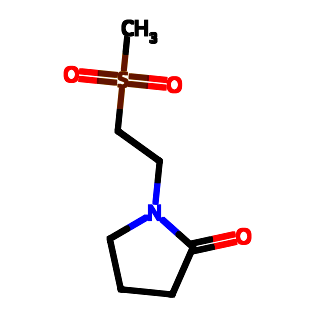 CS(=O)(=O)CCN1CCCC1=O